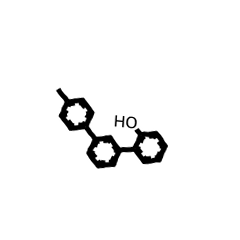 Cc1ccc(-c2cccc(-c3ccccc3O)c2)cc1